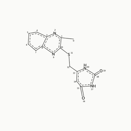 Cc1nc2ccccc2nc1SCc1cc(=O)[nH]c(=O)[nH]1